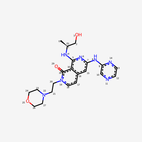 C[C@@H](CO)Nc1nc(Nc2cnccn2)cc2ccn(CCN3CCOCC3)c(=O)c12